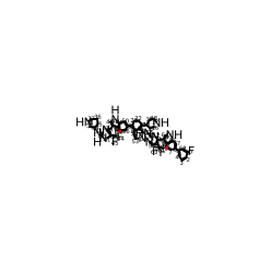 Fc1cccc(-c2ccc3c(-c4nc(N[C@@H]5CNCCC5c5ccc(-c6ccc7c(-c8nc(N[C@H]9CCCNC9)ncc8C(F)(F)F)c[nH]c7c6)c6ccncc56)ncc4C(F)(F)F)c[nH]c3c2)c1